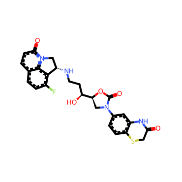 O=C1CSc2ccc(N3C[C@@H]([C@@H](O)CCN[C@H]4Cn5c(=O)ccc6ccc(F)c4c65)OC3=O)cc2N1